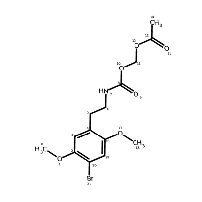 COc1cc(CCNC(=O)OCOC(C)=O)c(OC)cc1Br